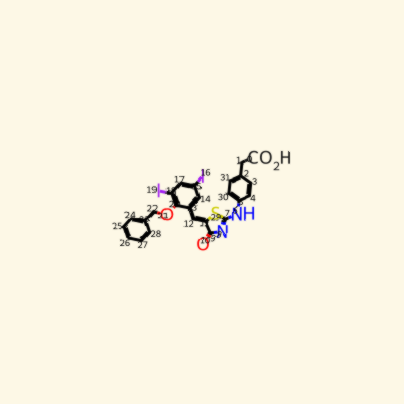 O=C(O)Cc1ccc(NC2=NC(=O)C(=Cc3cc(I)cc(I)c3OCc3ccccc3)S2)cc1